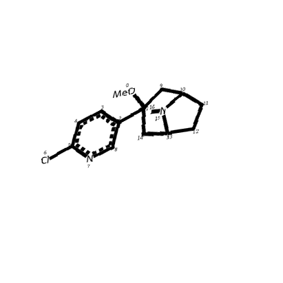 COC1(c2ccc(Cl)nc2)CC2CCC(C1)N2C